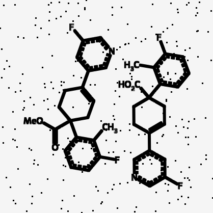 COC(=O)C1(c2cccc(F)c2C)CC=C(c2cncc(F)c2)CC1.Cc1c(F)cccc1C1(C(=O)O)CC=C(c2cncc(F)c2)CC1